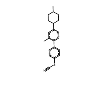 Cc1cc(C2CCC(C)CC2)ccc1-c1ccc(SC#N)cc1